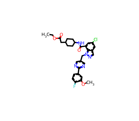 CCOC(=O)CC1CCC(NC(=O)c2cc(Cl)cc3cnn(Cc4cnc(-c5ccc(F)c(OC)c5)nc4)c23)CC1